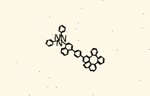 c1ccc(-c2nc(-c3ccccc3)nc(-c3ccc(-c4ccc(-c5cc6ccc7cccc8c9ccccc9c9ccccc9c(c5)c6c78)cc4)c4ccccc34)n2)cc1